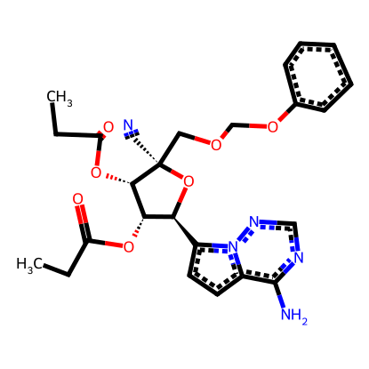 CCC(=O)O[C@H]1[C@H](c2ccc3c(N)ncnn23)O[C@](C#N)(COCOc2ccccc2)[C@H]1OC(=O)CC